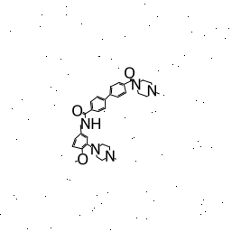 COc1ccc(CNC(=O)c2ccc(-c3ccc(C(=O)N4CCN(C)CC4)cc3)cc2)cc1N1CCN(C)CC1